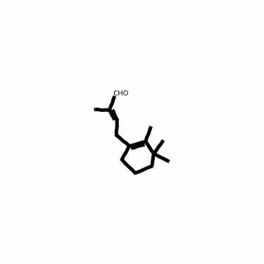 CC(C=O)=CCC1=C(C)C(C)(C)CCC1